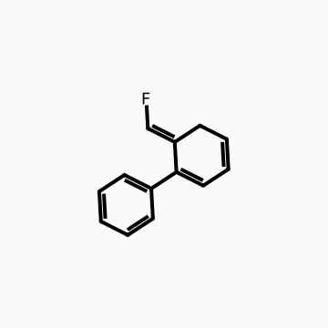 FC=C1CC=CC=C1c1ccccc1